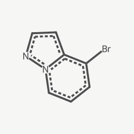 Brc1cccn2nccc12